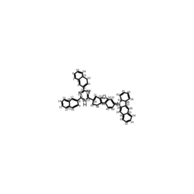 C1=CC2=CC(C3=NC(c4ccc5ccccc5c4)NC(C4=Cc5oc6cc(N7c8cc9ccccc9cc8C8C=CC=CC87)ccc6c5CC4)=N3)=CCC2C=C1